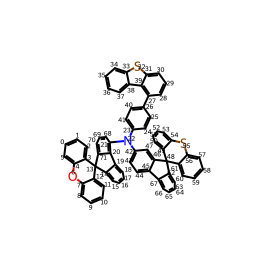 c1ccc2c(c1)Oc1ccccc1C21c2ccccc2-c2c(N(c3ccc(-c4cccc5sc6ccccc6c45)cc3)c3ccc4c(c3)C3(c5ccccc5Sc5ccccc53)c3ccccc3-4)cccc21